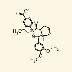 CCC[N@@+]1(c2ccc(C(=O)[O-])cc2)N=C(c2ccc(OC)c(OC)c2)[C@H]2CC=CCC2C1=O